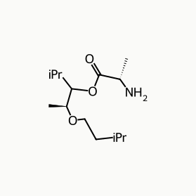 CC(C)CCO[C@@H](C)C(OC(=O)[C@H](C)N)C(C)C